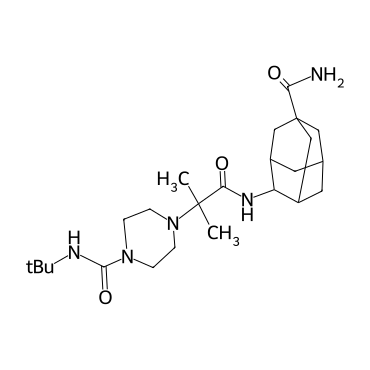 CC(C)(C)NC(=O)N1CCN(C(C)(C)C(=O)NC2C3CC4CC2CC(C(N)=O)(C4)C3)CC1